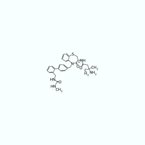 CNC(=O)NCc1ccccc1-c1ccc(CN2C(=O)[C@H](NC(=O)CC(C)(C)N)CSc3ccccc32)cc1